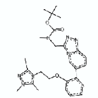 Cc1nn(C)c(C)c1CCOc1cccnc1-c1ccc2nnc(CN(C)C(=O)OC(C)(C)C)n2c1